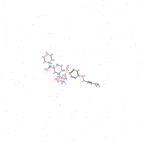 CC#CCOc1ccc(S(=O)(=O)N2CCN(C(=O)N3CCOCC3)CC2C(=O)O)cc1.NO